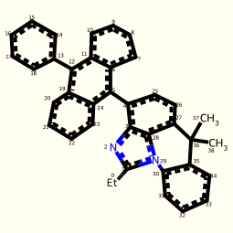 CCc1nc2c(-c3c4ccccc4c(-c4ccccc4)c4ccccc34)ccc3c2n1-c1ccccc1C3(C)C